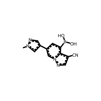 Cn1cc(-c2cc(B(O)O)c3c(C#N)cnn3c2)cn1